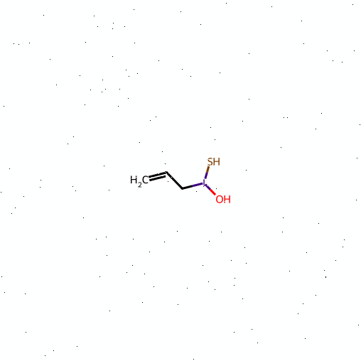 C=CCI(O)S